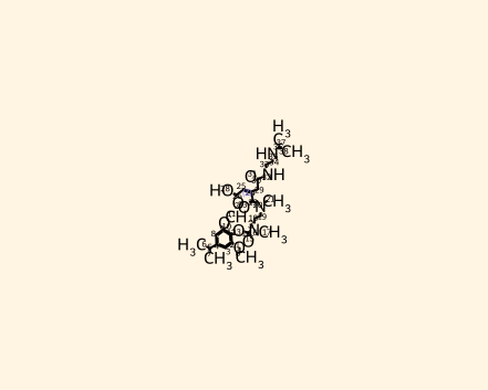 COc1cc(C(C)C)cc(OC)c1OC(=O)N(C)CCN(C)C(=O)/C(=C\C(=O)O)CC(=O)NCCNC(C)C